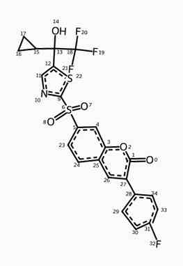 O=c1oc2cc(S(=O)(=O)c3ncc(C(O)(C4CC4)C(F)(F)F)s3)ccc2cc1-c1ccc(F)cc1